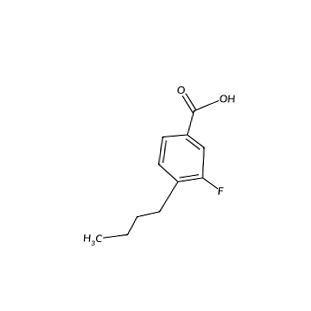 CCCCc1ccc(C(=O)O)cc1F